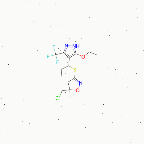 CCOc1[nH]nc(C(F)(F)F)c1C(CC)SC1=NOC(C)(CCl)C1